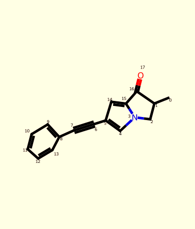 CC1Cn2cc(C#Cc3ccccc3)cc2C1=O